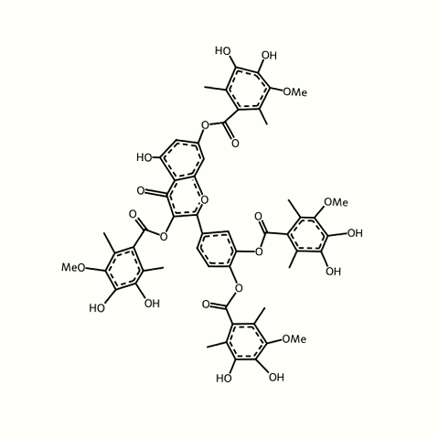 COc1c(C)c(C(=O)Oc2cc(O)c3c(=O)c(OC(=O)c4c(C)c(O)c(O)c(OC)c4C)c(-c4ccc(OC(=O)c5c(C)c(O)c(O)c(OC)c5C)c(OC(=O)c5c(C)c(O)c(O)c(OC)c5C)c4)oc3c2)c(C)c(O)c1O